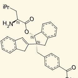 COC(=O)c1ccc(C[C@@]2(C3=Cc4ccccc4C3)Cc3ccccc3[C@H]2OC(=O)[C@@H](N)CC(C)C)cc1